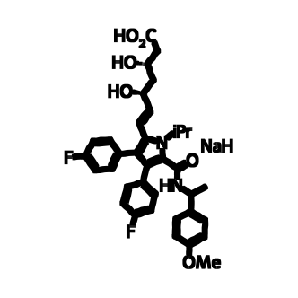 COc1ccc(C(C)NC(=O)c2c(-c3ccc(F)cc3)c(-c3ccc(F)cc3)c(C=C[C@@H](O)C[C@H](O)CC(=O)O)n2C(C)C)cc1.[NaH]